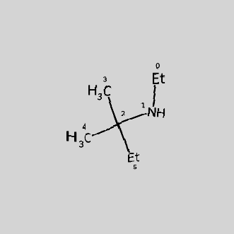 [CH2]CNC(C)(C)CC